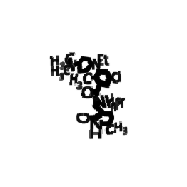 CCCc1cc(C)[nH]c(=O)c1CNC(=O)c1cc(Cl)cc(N(CC)C2CCC(N(C)C)CC2)c1C